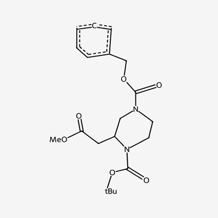 COC(=O)CC1CN(C(=O)OCc2ccccc2)CCN1C(=O)OC(C)(C)C